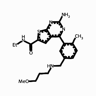 CCNC(=O)c1cc2c(-c3cc(CNCCCOC)ccc3C)nc(N)nc2s1